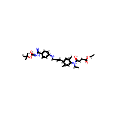 CCOC(=O)CCC(=O)N(CC)c1cc(C)c(C#CCNc2ccc(C(=N)NC(=O)OC(C)(C)C)cc2)cc1C